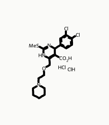 CSC1=NC(c2ccc(Cl)c(Cl)c2)C(C(=O)O)=C(COCCN2CCCCC2)N1.Cl.Cl